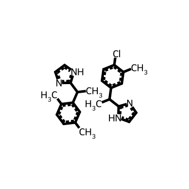 Cc1cc(C(C)c2ncc[nH]2)ccc1Cl.Cc1ccc(C)c(C(C)c2ncc[nH]2)c1